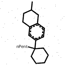 CCCCCC1(c2ccc3c(c2)CCC(C)C3)CCCCC1